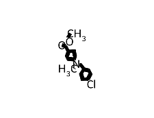 CCOC(=O)c1ccc(N(C)Cc2ccc(Cl)cc2)cc1